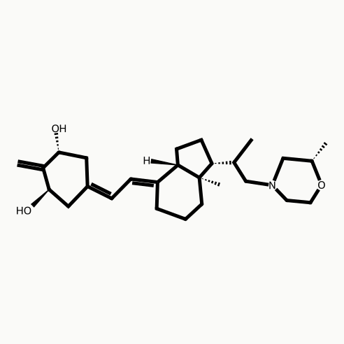 C=C1[C@H](O)CC(=C/C=C2\CCC[C@]3(C)[C@@H](C(C)CN4CCO[C@@H](C)C4)CC[C@@H]23)C[C@H]1O